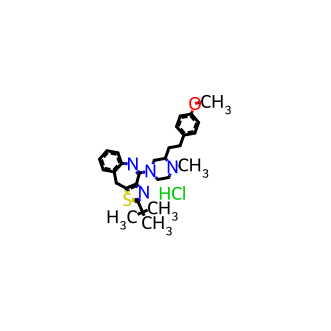 COc1ccc(CCC2CN(C3=Nc4ccccc4Cc4sc(C(C)(C)C)nc43)CCN2C)cc1.Cl